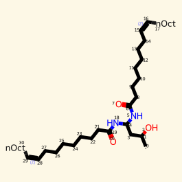 [CH2]C(O)CC(NC(=O)CCCCCCC/C=C\CCCCCCCC)NC(=O)CCCCCCC/C=C\CCCCCCCC